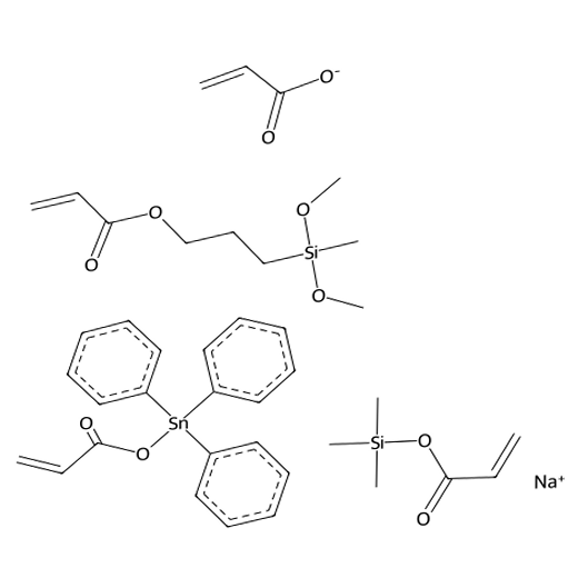 C=CC(=O)OCCC[Si](C)(OC)OC.C=CC(=O)O[Si](C)(C)C.C=CC(=O)[O-].C=CC(=O)[O][Sn]([c]1ccccc1)([c]1ccccc1)[c]1ccccc1.[Na+]